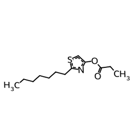 CCCCCCCc1nc(OC(=O)CC)cs1